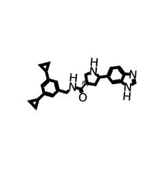 O=C(NCc1cc(C2CC2)cc(C2CC2)c1)[C@H]1CNC(c2ccc3nc[nH]c3c2)C1